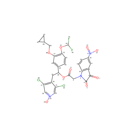 O=C(CN1C(=O)C(=O)c2cc([N+](=O)[O-])ccc21)OC(Cc1c(Cl)c[n+]([O-])cc1Cl)c1ccc(OC(F)F)c(OCC2CC2)c1